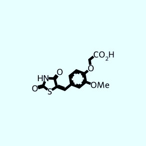 COc1cc(C=C2SC(=O)NC2=O)ccc1OCC(=O)O